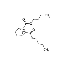 CCCCOC(=O)C1=C(C(=O)OCCCC)C2CCC1O2